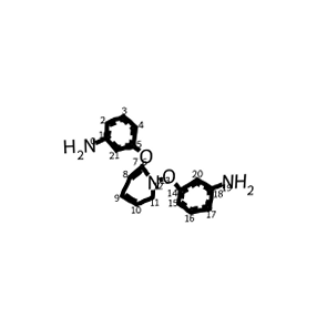 Nc1cccc(OC2=CC=CCN2Oc2cccc(N)c2)c1